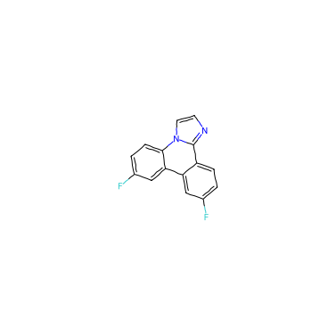 Fc1ccc2c(c1)c1cc(F)ccc1n1ccnc21